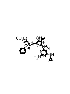 C=C[C@@]1(F)[C@H](O)C(COP(=O)(N[C@@H](C)C(=O)OCC)Oc2ccccc2)O[C@H]1n1cnc2c(NC3CC3)nc(N)nc21